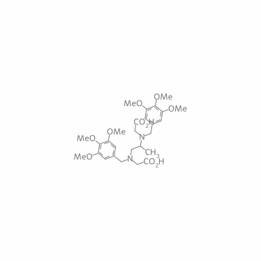 COc1cc(CN(CC(=O)O)CC(C)N(CC(=O)O)Cc2cc(OC)c(OC)c(OC)c2)cc(OC)c1OC